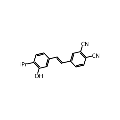 CC(C)c1ccc(/C=C/c2ccc(C#N)c(C#N)c2)cc1O